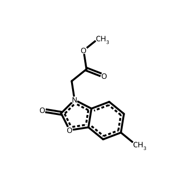 COC(=O)Cn1c(=O)oc2cc(C)ccc21